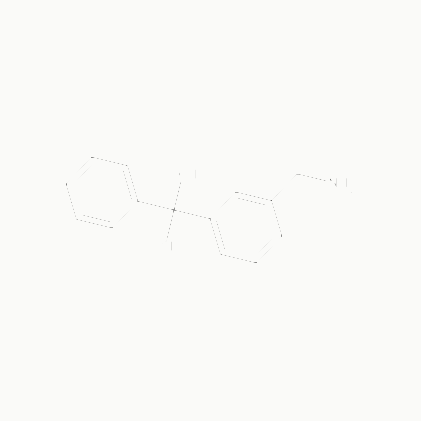 CC(C)(c1ccccc1)c1cccc(CN)c1